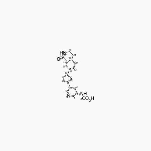 O=C(O)Nc1cncc(-c2ccc(-c3ccc4c(c3)C(=O)NCC4)s2)c1